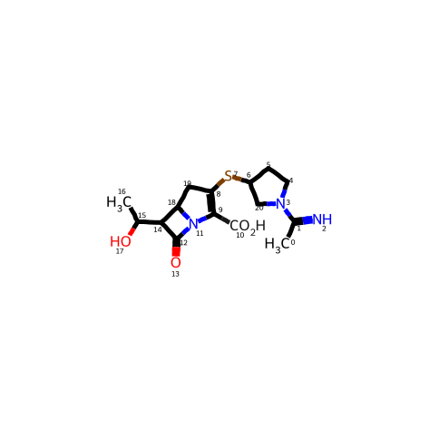 CC(=N)N1CCC(SC2=C(C(=O)O)N3C(=O)C(C(C)O)C3C2)C1